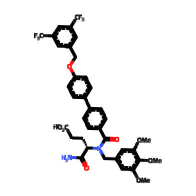 COc1cc(CN(C(=O)c2ccc(-c3ccc(OCc4cc(C(F)(F)F)cc(C(F)(F)F)c4)cc3)cc2)[C@@H](CCC(=O)O)C(N)=O)cc(OC)c1OC